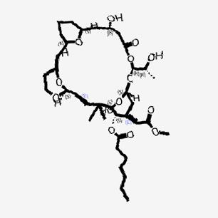 CCCCCCC(=O)O[C@H]1/C(=C/C(=O)OC)C[C@H]2C[C@H]([C@@H](C)O)OC(=O)C[C@H](O)C[C@@H]3CCC[C@H](CC4CCO[C@H](/C=C/C(C)(C)[C@]1(O)O2)O4)O3